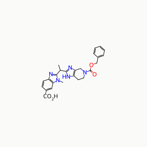 CC(c1nc2c([nH]1)CCN(C(=O)OCc1ccccc1)C2)c1nc2ccc(C(=O)O)cc2n1C